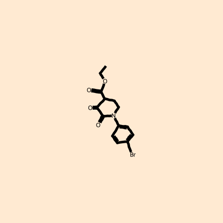 CCOC(=O)C1CCN(c2ccc(Br)cc2)C(=O)C1=O